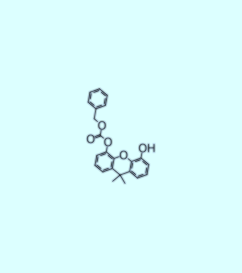 CC1(C)c2cccc(O)c2Oc2c(OC(=O)OCc3ccccc3)cccc21